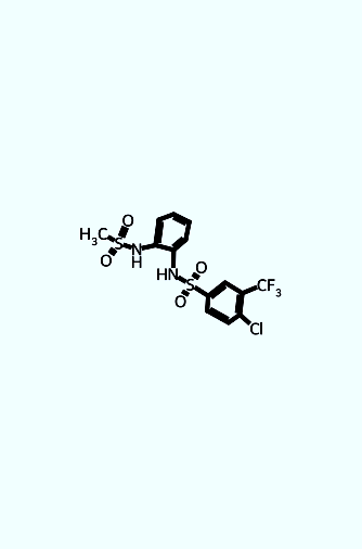 CS(=O)(=O)Nc1ccccc1NS(=O)(=O)c1ccc(Cl)c(C(F)(F)F)c1